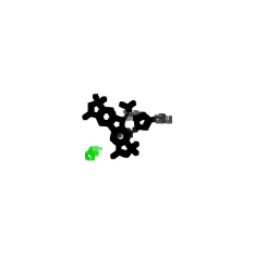 CCCC1C=C(C(C)(C)C)C=[C]1[Zr+2](=[C](C)C)[CH]1c2cc3c(cc2-c2cc4c(cc21)C(C)(C)C=C4C)C(C)=CC3(C)C.[Cl-].[Cl-]